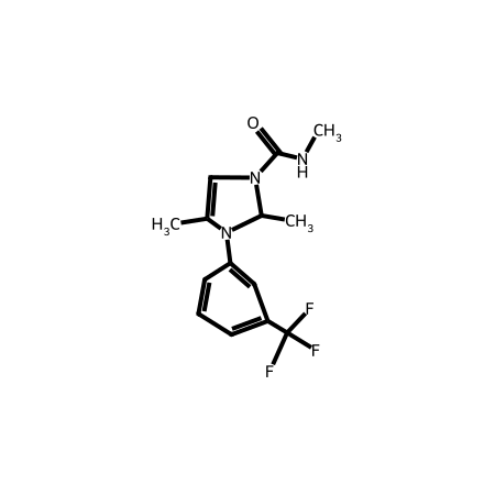 CNC(=O)N1C=C(C)N(c2cccc(C(F)(F)F)c2)C1C